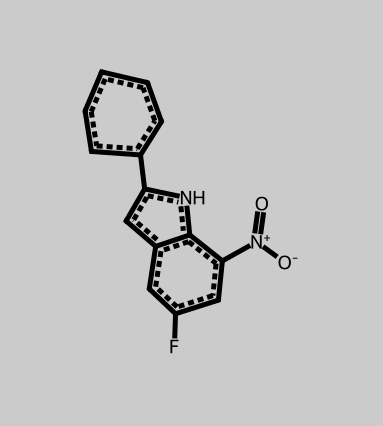 O=[N+]([O-])c1cc(F)cc2cc(-c3ccccc3)[nH]c12